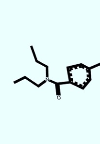 CCCN(CCC)C(=O)c1ccc(Br)cc1